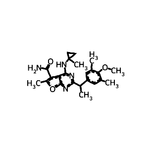 COc1c(C)cc(C(C)c2nc(NC3(C)CC3)c3c(C(N)=O)c(C)oc3n2)cc1C